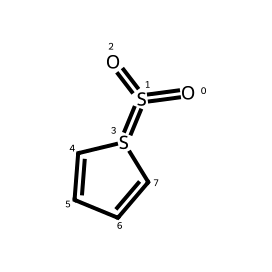 O=S(=O)=S1C=CC=C1